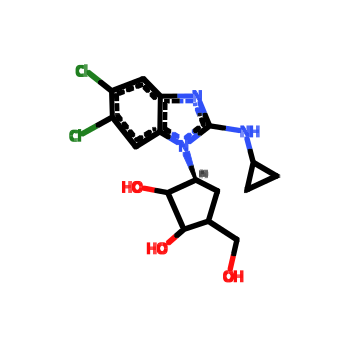 OCC1C[C@H](n2c(NC3CC3)nc3cc(Cl)c(Cl)cc32)C(O)C1O